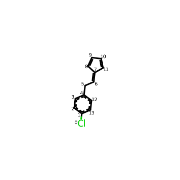 Clc1ccc(CC=C2C=CC=C2)cc1